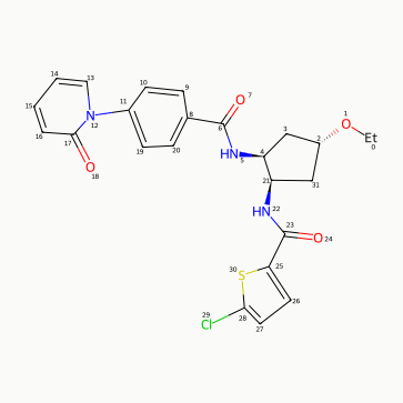 CCO[C@H]1C[C@H](NC(=O)c2ccc(-n3ccccc3=O)cc2)[C@H](NC(=O)c2ccc(Cl)s2)C1